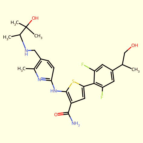 Cc1nc(Nc2sc(-c3c(F)cc(C(C)CO)cc3F)cc2C(N)=O)ccc1CNC(C)C(C)(C)O